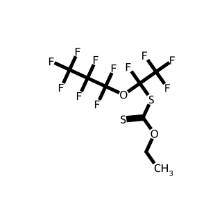 CCOC(=S)SC(F)(OC(F)(F)C(F)(F)C(F)(F)F)C(F)(F)F